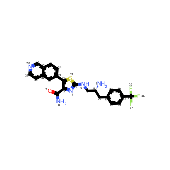 NC(=O)c1nc(NC[C@H](N)Cc2ccc(C(F)(F)F)cc2)sc1-c1ccc2cnccc2c1